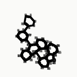 C1=CCCC(c2cccc(-c3c4ccccc4c(-c4cccc5oc6ccccc6c45)c4ccccc34)c2)=C1